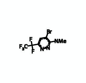 CNc1nnc(C(F)(F)C(F)(F)F)cc1Br